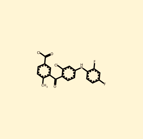 Cc1ccc(C(=O)Cl)cc1C(=O)c1ccc(Nc2ccc(F)cc2F)cc1Cl